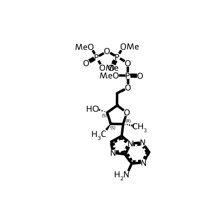 COP(=O)(OC)OP(=O)(OC)OP(=O)(OC)OCC1O[C@@](C)(c2cnc3c(N)ncnn23)[C@@H](C)[C@@H]1O